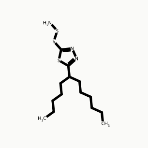 CCCCCCC(CCCCC)c1nnc(SSN)s1